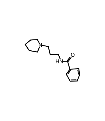 O=C(NCCCN1CCCCC1)c1cc[c]cc1